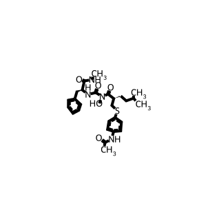 CNC(=O)[C@H](Cc1ccccc1)NC(=O)N(O)C(=O)[C@H](CCC(C)C)CSc1ccc(NC(C)=O)cc1